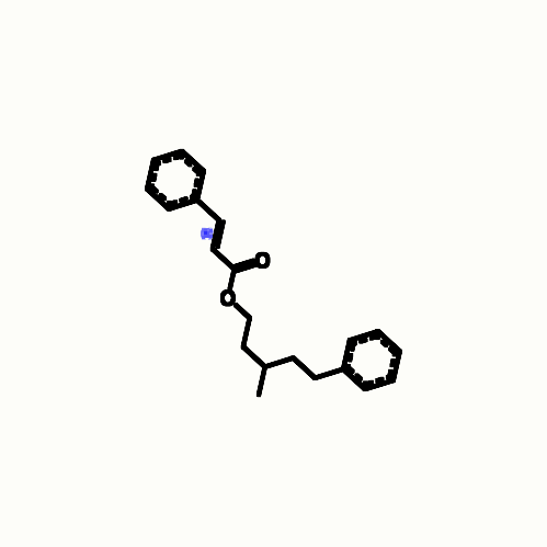 CC(CCOC(=O)/C=C/c1ccccc1)CCc1ccccc1